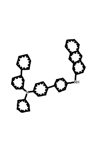 c1ccc(-c2cccc(N(c3ccccc3)c3ccc(-c4ccc(Nc5ccc6cc7ccccc7cc6c5)cc4)cc3)c2)cc1